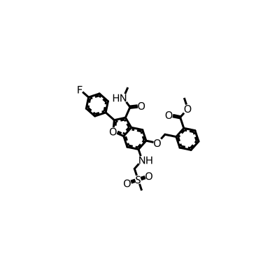 CNC(=O)c1c(-c2ccc(F)cc2)oc2cc(NCS(C)(=O)=O)c(OCc3ccccc3C(=O)OC)cc12